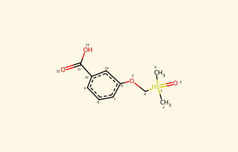 C[SH](C)(=O)COc1cccc(C(=O)O)c1